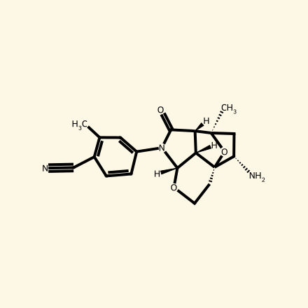 Cc1cc(N2C(=O)[C@H]3[C@H]4[C@@H]2OCC[C@@]42O[C@]3(C)C[C@@H]2N)ccc1C#N